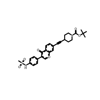 CC(C)(C)OC(=O)N1CCC(C#Cc2ccc3c(=O)c(-c4ccc(NS(C)(=O)=O)cc4)coc3c2)CC1